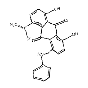 C=[N+]([O-])c1ccc(O)c2c1C(=O)c1c(Nc3ccccc3)ccc(O)c1C2=O